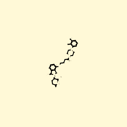 O=C1CCC(N2Cc3c(OCCCC(=O)N4CCN(c5cccc(Cl)c5Cl)CC4)cccc3C2=O)C(=O)N1